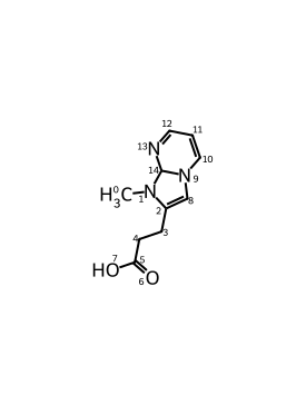 CN1C(CCC(=O)O)=CN2C=CC=NC21